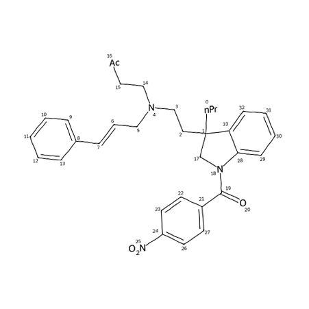 CCCC1(CCN(C/C=C/c2ccccc2)CCC(C)=O)CN(C(=O)c2ccc([N+](=O)[O-])cc2)c2ccccc21